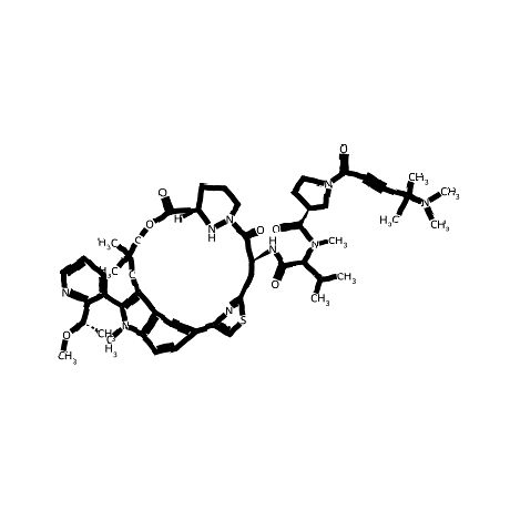 CO[C@@H](C)c1ncccc1-c1c2c3cc(ccc3n1C)-c1csc(n1)C[C@H](NC(=O)C(C(C)C)N(C)C(=O)[C@H]1CCN(C(=O)C#CC(C)(C)N(C)C)C1)C(=O)N1CCC[C@H](N1)C(=O)OCC(C)(C)C2